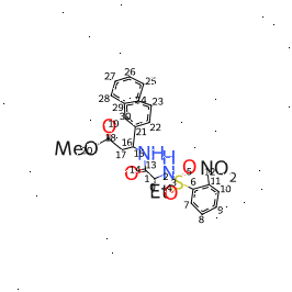 CCC(NS(=O)(=O)c1ccccc1[N+](=O)[O-])C(=O)NC(CC(=O)OC)c1ccc2ccccc2c1